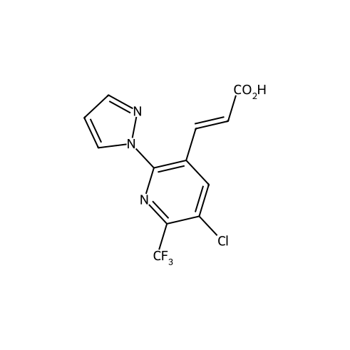 O=C(O)C=Cc1cc(Cl)c(C(F)(F)F)nc1-n1cccn1